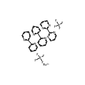 F[B-](F)(F)F.F[B-](F)(F)F.[Ru+2].c1ccc(-c2ccccn2)nc1.c1ccc(-c2ccccn2)nc1.c1cnc(-c2ncccn2)nc1